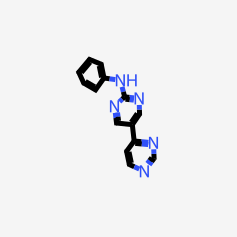 c1ccc(Nc2ncc(-c3ccncn3)cn2)cc1